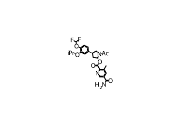 CC(=O)N1C[C@H](c2ccc(OC(F)F)c(OC(C)C)c2)C[C@H]1OC(=O)c1ncc(C(N)=O)cc1C